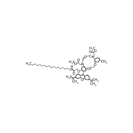 CCCCCCCCCCCCCCCCCCNC(=O)COc1cc2c(cc1-c1c3ccc(=[N+](C)C)cc-3oc3cc(N(C)C)ccc13)OCCOc1cc(C)ccc1N(CC(=O)OC)CCOCCN2CC(=O)OC